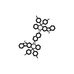 Cc1ccc(C2(c3ccc(C)cc3)c3ccccc3N(c3ccc4cc(N5c6ccccc6C(c6ccc(C)cc6)(c6ccc(C)cc6)c6cc7c(cc65)sc5ccccc57)ccc4c3)c3cc4sc5ccccc5c4cc32)cc1